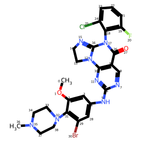 COc1cc(Nc2ncc3c(n2)N2CCN=C2N(c2c(F)cccc2Cl)C3=O)cc(Br)c1N1CCN(C)CC1